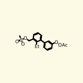 CCc1c(COS(C)(=O)=O)cccc1-c1cccc(OOC(C)=O)c1